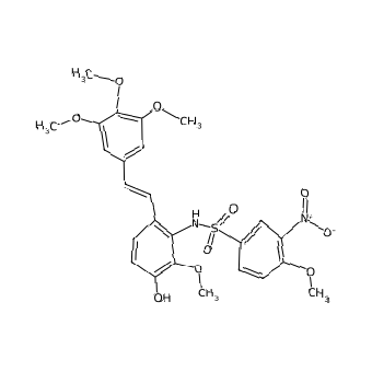 COc1ccc(S(=O)(=O)Nc2c(C=Cc3cc(OC)c(OC)c(OC)c3)ccc(O)c2OC)cc1[N+](=O)[O-]